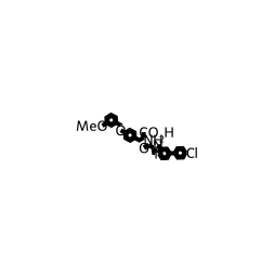 COc1cccc(COc2ccc(CC(NC(=O)c3cn4ccc(-c5ccc(Cl)cc5)cc4n3)C(=O)O)cc2)c1